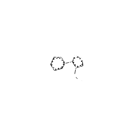 N#COc1c[nH]nc1-c1ccccc1